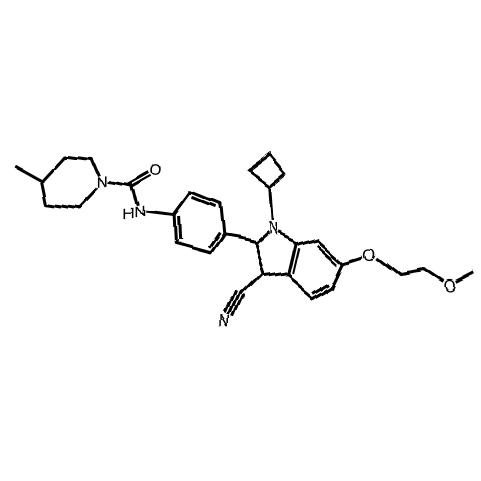 COCCOc1ccc2c(c1)N(C1CCC1)C(c1ccc(NC(=O)N3CCC(C)CC3)cc1)C2C#N